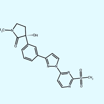 CN1CC[C@@](O)(c2cccc(-c3ccn(-c4ccnc(S(C)(=O)=O)n4)n3)c2)C1=O